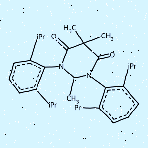 CC(C)c1cccc(C(C)C)c1N1C(=O)C(C)(C)C(=O)N(c2c(C(C)C)cccc2C(C)C)C1C